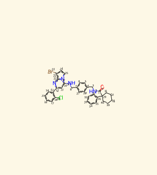 O=C(NCc1ccc(CNc2cc(-c3ccccc3Cl)nc3c(Br)ccn23)cc1)C1(c2ccccc2)CCCCC1